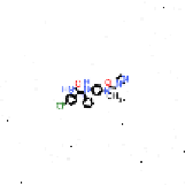 CN(C(=O)Cn1ccnc1)c1ccc(N/C(=C2\C(=O)Nc3cc(Cl)ccc32)c2ccccc2)cc1